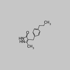 CCCc1ccc(Cc2c(C)[nH][nH]c2=O)cc1